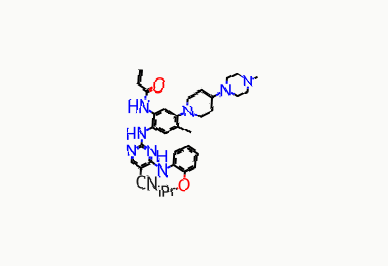 C=CC(=O)Nc1cc(N2CCC(N3CCN(C)CC3)CC2)c(C)cc1Nc1ncc(C#N)c(Nc2ccccc2OC(C)C)n1